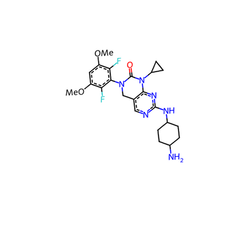 COc1cc(OC)c(F)c(N2Cc3cnc(NC4CCC(N)CC4)nc3N(C3CC3)C2=O)c1F